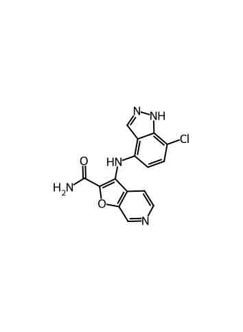 NC(=O)c1oc2cnccc2c1Nc1ccc(Cl)c2[nH]ncc12